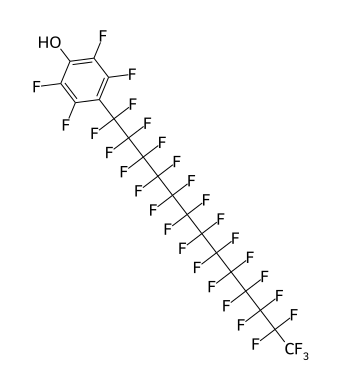 Oc1c(F)c(F)c(C(F)(F)C(F)(F)C(F)(F)C(F)(F)C(F)(F)C(F)(F)C(F)(F)C(F)(F)C(F)(F)C(F)(F)C(F)(F)C(F)(F)C(F)(F)F)c(F)c1F